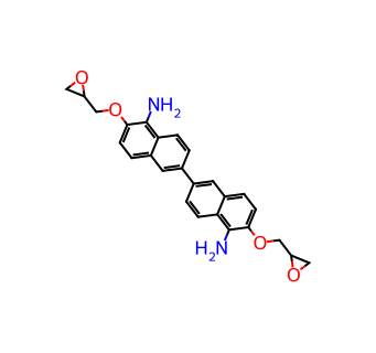 Nc1c(OCC2CO2)ccc2cc(-c3ccc4c(N)c(OCC5CO5)ccc4c3)ccc12